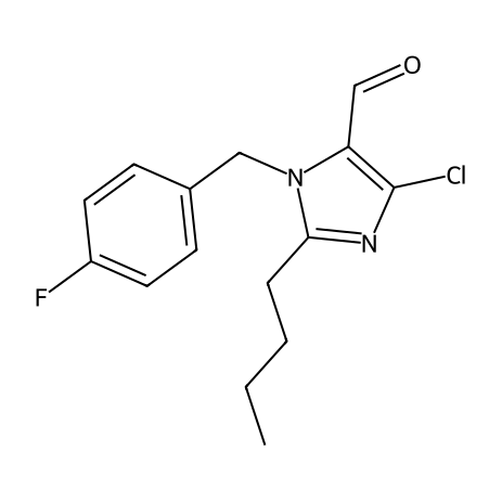 CCCCc1nc(Cl)c(C=O)n1Cc1ccc(F)cc1